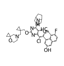 C#Cc1c(F)ccc2cc(O)cc(-c3c(F)cc4c(N5CC6CCC(C5)N6)nc(OCC5(CN6CCOC7(CC7)C6)CC5)nc4c3Cl)c12